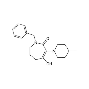 CC1CCN(C2=C(O)CCCN(Cc3ccccc3)C2=O)CC1